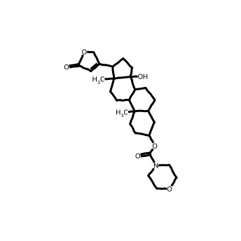 CC12CCC(OC(=O)N3CCOCC3)CC1CCC1C2CCC2(C)C(C3=CC(=O)OC3)CCC12O